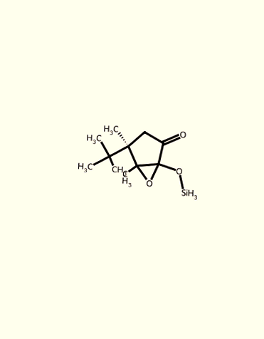 CC(C)(C)[C@@]1(C)CC(=O)C2(O[SiH3])OC21C